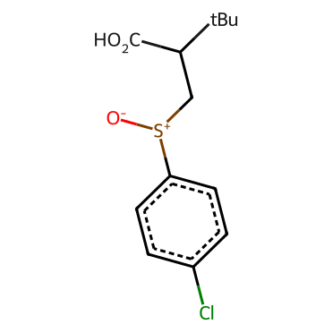 CC(C)(C)C(C[S+]([O-])c1ccc(Cl)cc1)C(=O)O